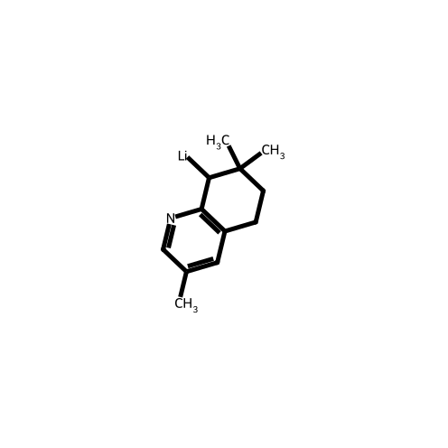 [Li][CH]1c2ncc(C)cc2CCC1(C)C